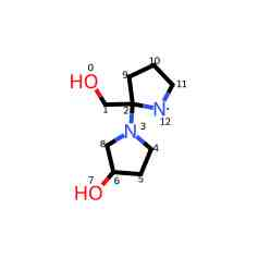 OCC1(N2CCC(O)C2)CCC[N]1